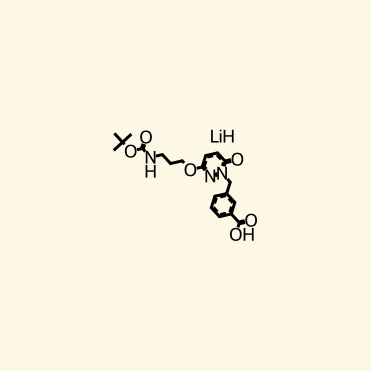 CC(C)(C)OC(=O)NCCCOc1ccc(=O)n(Cc2cccc(C(=O)O)c2)n1.[LiH]